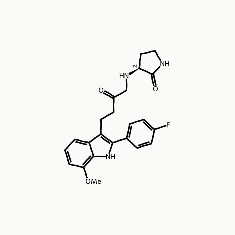 COc1cccc2c(CCC(=O)CN[C@H]3CCNC3=O)c(-c3ccc(F)cc3)[nH]c12